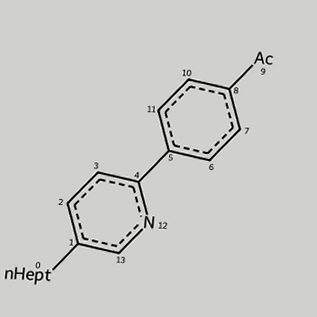 CCCCCCCc1ccc(-c2ccc(C(C)=O)cc2)nc1